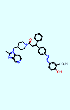 Cc1nc2cnccc2n1CC1CCN(C(=O)/C=C(\c2ccccc2)c2ccc(N=Nc3ccc(O)c(C(=O)O)c3)cc2)CC1